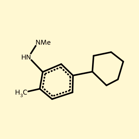 CNNc1cc(C2CCCCC2)ccc1C